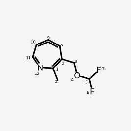 CC1=C(COC(F)F)C=C=CC=N1